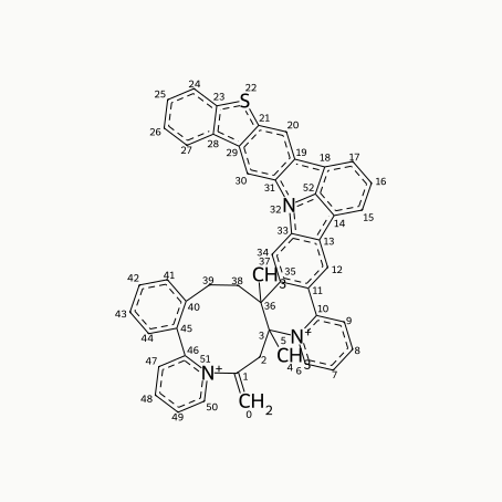 C=C1CC2(C)[n+]3ccccc3-c3cc4c5cccc6c7cc8sc9ccccc9c8cc7n(c4cc3C2(C)CCc2ccccc2-c2cccc[n+]21)c56